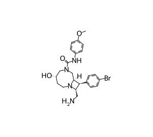 COc1ccc(NC(=O)N2C[C@@H](O)CCN3[C@H](CN)[C@H](c4ccc(Br)cc4)[C@@H]3C2)cc1